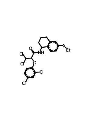 CCSc1ccc2c(c1)CCCC2NC(=O)C(Oc1ccc(Cl)cc1Cl)C(Cl)Cl